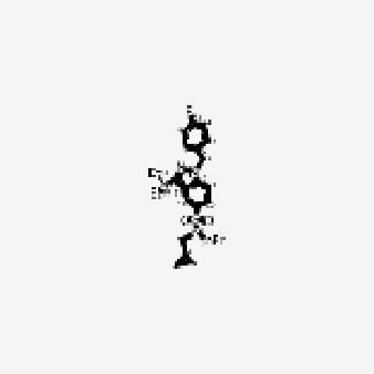 CCCN(CC1CC1)S(=O)(=O)c1ccc2c(c1)c(N(CC)CC)nn2Cc1ccc(F)cc1